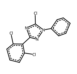 Clc1cccc(Cl)c1-c1nc(Cl)n(-c2ccccc2)n1